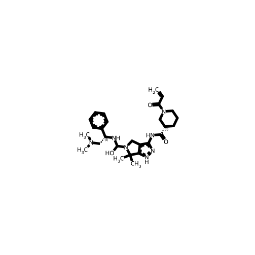 C=CC(=O)N1CCC[C@H](C(=O)Nc2n[nH]c3c2CN(C(O)N[C@H](CN(C)C)c2ccccc2)C3(C)C)C1